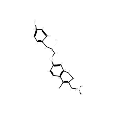 CC1=C(CN(C)C)CCc2cc(OC[C@@H](C)Cc3ccc(F)cc3)ccc21